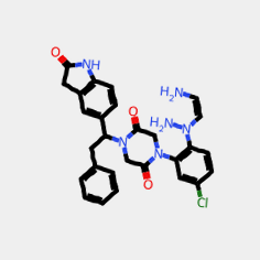 N/C=C\N(N)c1ccc(Cl)cc1N1CC(=O)N(C(Cc2ccccc2)c2ccc3c(c2)CC(=O)N3)CC1=O